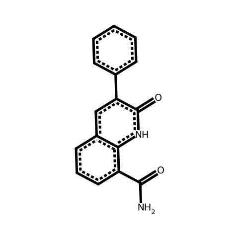 NC(=O)c1cccc2cc(-c3ccccc3)c(=O)[nH]c12